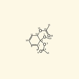 COC1(OC(C)=O)C(I)=CC=CC1OC(C)=O